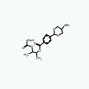 CCCCCC(=O)OC(C)C(C)OC(=O)c1ccc(C2OCC(CCCC)CO2)cc1